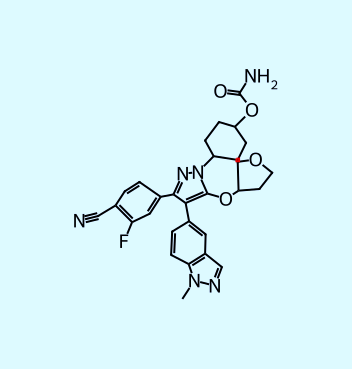 Cn1ncc2cc(-c3c(-c4ccc(C#N)c(F)c4)nn(C4CCC(OC(N)=O)CC4)c3OC3CCOC3)ccc21